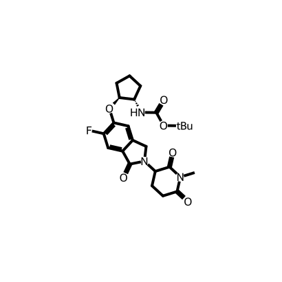 CN1C(=O)CCC(N2Cc3cc(O[C@H]4CCC[C@@H]4NC(=O)OC(C)(C)C)c(F)cc3C2=O)C1=O